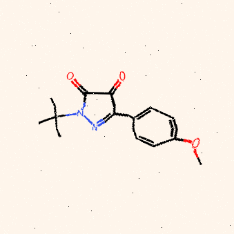 COc1ccc(C2=NN(C(C)(C)C)C(=O)C2=O)cc1